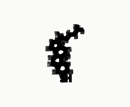 CC(C)CCC[C@@H](C)C1CCC2C3CC=C4C[C@@H](S)CC[C@]4(C)C3CC[C@@]21C